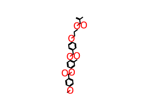 C=C(C)C(=O)OCCCOc1ccc(C(=O)Oc2ccc(OC(=O)c3ccc(OC)cc3)cc2C)cc1